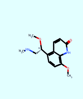 CNC[C@H](OC)c1ccc(OC)c2[nH]c(=O)ccc12